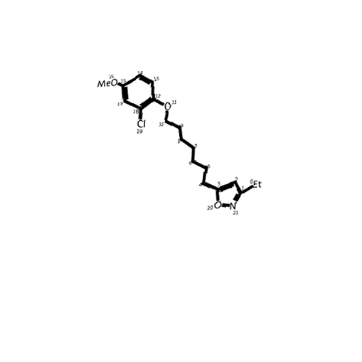 CCc1cc(CCCCCCCOc2ccc(OC)cc2Cl)on1